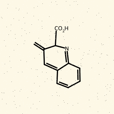 C=C1C=c2ccccc2=NC1C(=O)O